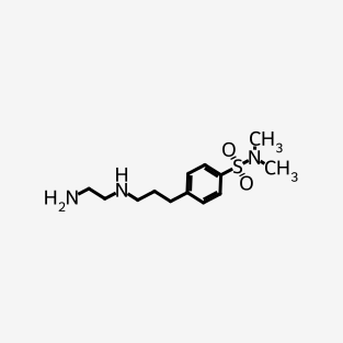 CN(C)S(=O)(=O)c1ccc(CCCNCCN)cc1